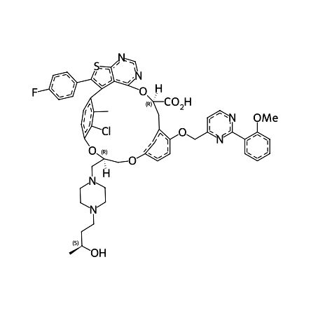 COc1ccccc1-c1nccc(COc2ccc3cc2C[C@H](C(=O)O)Oc2ncnc4sc(-c5ccc(F)cc5)c(c24)-c2ccc(c(Cl)c2C)O[C@H](CN2CCN(CC[C@H](C)O)CC2)CO3)n1